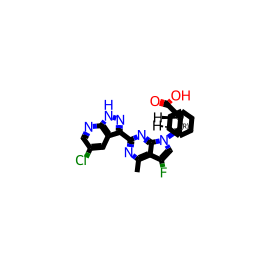 Cc1nc(-c2n[nH]c3ncc(Cl)cc23)nc2c1c(F)cn2[C@@H]1C2CCC(CC2)[C@H]1C(=O)O